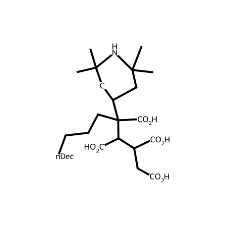 CCCCCCCCCCCCCC(C(=O)O)(C1CC(C)(C)NC(C)(C)C1)C(C(=O)O)C(CC(=O)O)C(=O)O